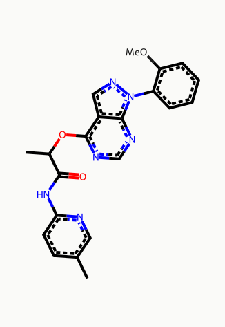 COc1ccccc1-n1ncc2c(OC(C)C(=O)Nc3ccc(C)cn3)ncnc21